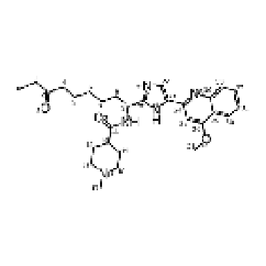 CCC(=O)CCCCC[C@H](NC(=O)C1CCN(C)CC1)C1=[N+]C=C(c2cc(OC)c3ccccc3n2)N1